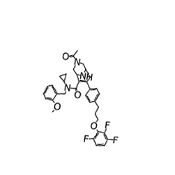 COc1ccccc1CN(C(=O)C1=C(c2ccc(CCCOc3c(F)ccc(F)c3F)cc2)CC2CN(C(C)=O)CC1N2)C1CC1